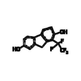 Oc1ccc2c(c1)Cc1c-2ccc(O)c1C(F)(F)C(F)(F)F